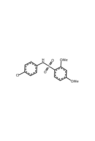 COc1ccc(S(=O)(=O)Nc2[c]cc(Cl)cc2)c(OC)c1